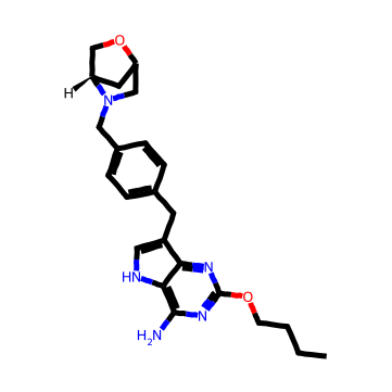 CCCCOc1nc(N)c2[nH]cc(Cc3ccc(CN4CC5C[C@H]4CO5)cc3)c2n1